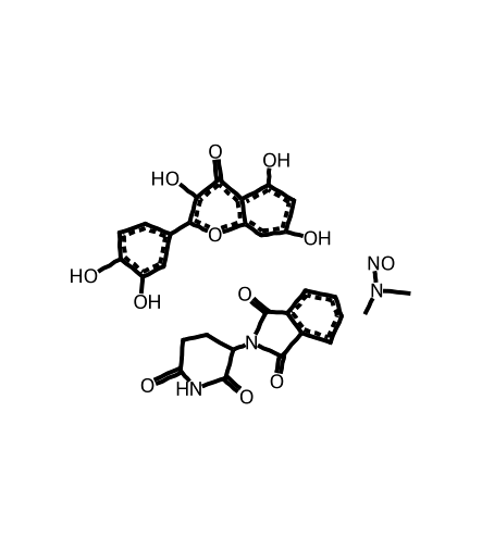 CN(C)N=O.O=C1CCC(N2C(=O)c3ccccc3C2=O)C(=O)N1.O=c1c(O)c(-c2ccc(O)c(O)c2)oc2cc(O)cc(O)c12